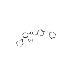 OC1C(OCc2ccc(Cc3ccccc3)cc2)CCC1N1CCCCC1